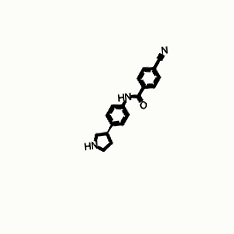 N#Cc1ccc(C(=O)Nc2ccc([C@H]3CCNC3)cc2)cc1